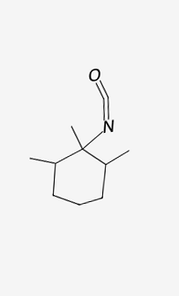 CC1CCCC(C)C1(C)N=C=O